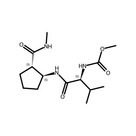 CNC(=O)[C@H]1CCC[C@@H]1NC(=O)[C@@H](NC(=O)OC)C(C)C